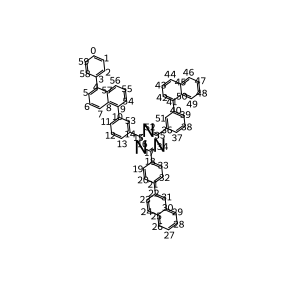 c1ccc(-c2cccc3c(-c4cccc(-c5nc(-c6ccc(-c7ccc8ccccc8c7)cc6)nc(-c6cccc(-c7cccc8ccccc78)c6)n5)c4)cccc23)cc1